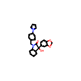 O=C1N(Cc2ccc(-n3cccc3)cc2)c2ccccc2C1(O)c1ccc2c(c1)OCO2